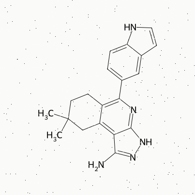 CC1(C)CCc2c(-c3ccc4[nH]ccc4c3)nc3[nH]nc(N)c3c2C1